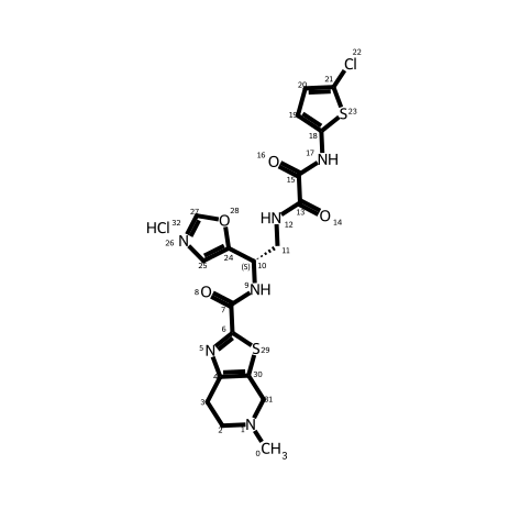 CN1CCc2nc(C(=O)N[C@@H](CNC(=O)C(=O)Nc3ccc(Cl)s3)c3cnco3)sc2C1.Cl